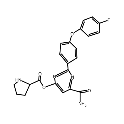 NC(=O)c1cc(OC(=O)C2CCCN2)nc(-c2ccc(Oc3ccc(F)cc3)cc2)n1